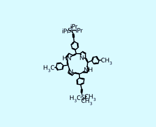 Cc1ccc(-c2c3nc(c(-c4ccc(C#C[Si](C(C)C)(C(C)C)C(C)C)cc4)c4ccc([nH]4)c(-c4ccc(C)cc4)c4nc(c(-c5ccc(C#C[Si](C)(C)C)cc5)c5ccc2[nH]5)C=C4)C=C3)cc1